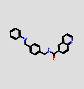 O=C(NCc1ccc(CNc2ccccc2)cc1)c1ccc2ncccc2c1